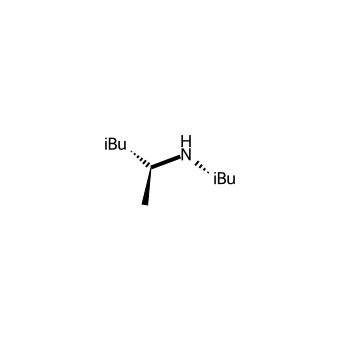 CC[C@@H](C)[C@H](C)N[C@@H](C)CC